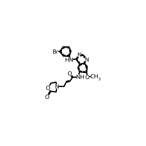 COc1cc2ncnc(Nc3cccc(Br)c3)c2cc1NC(=O)C=CCN1CCOC(=O)C1